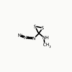 CNC1(N=[N+]=[N-])SS1